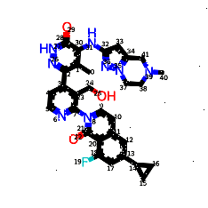 Cc1c(-c2ccnc(-n3ccc4cc(C5CC5)cc(F)c4c3=O)c2CO)n[nH]c(=O)c1Nc1cc2n(n1)CCN(C)C2